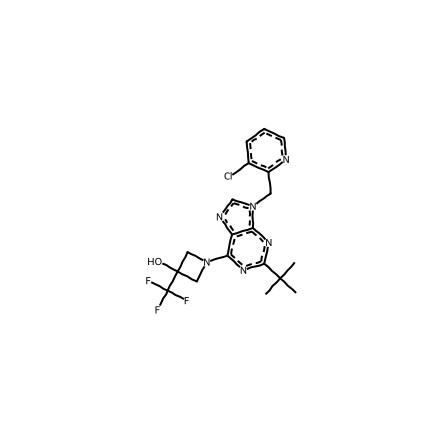 CC(C)(C)c1nc(N2CC(O)(C(F)(F)F)C2)c2ncn(Cc3ncccc3Cl)c2n1